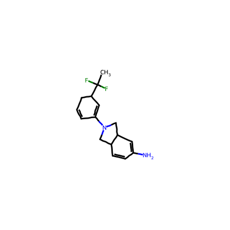 CC(F)(F)C1C=C(N2CC3C=CC(N)=CC3C2)C=CC1